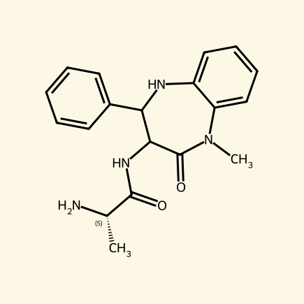 C[C@H](N)C(=O)NC1C(=O)N(C)c2ccccc2NC1c1ccccc1